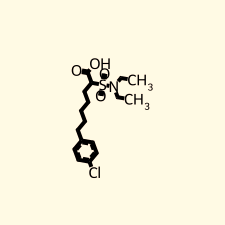 CCN(CC)S(=O)(=O)C(CCCCCc1ccc(Cl)cc1)C(=O)O